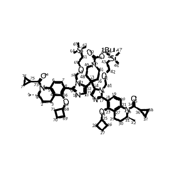 C[C@H]1CCc2c(ccc(-c3ncc(C4(c5cnc(-c6ccc7c(c6OC6CCC6)CC[C@H](C)N7C(=O)C6CC6)n5COCC[Si](C)(C)C)CCN(C(=O)OC(C)(C)C)CC4)n3COCC[Si](C)(C)C)c2OC2CCC2)N1C(=O)C1CC1